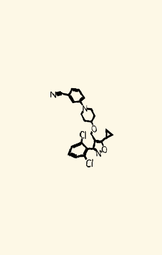 N#Cc1cccc(N2CCC(OCc3c(-c4c(Cl)cccc4Cl)noc3C3CC3)CC2)c1